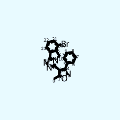 Cc1onc(-c2ccccc2)c1-c1nnc2n1Cc1c(Br)cccc1-2